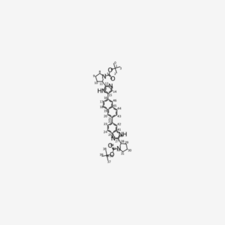 CC(C)(C)OC(=O)N1CCCC1c1ncc(-c2ccc3cc(-c4ccc5nc(C6CCCN6C(=O)OC(C)(C)C)[nH]c5c4)ccc3c2)[nH]1